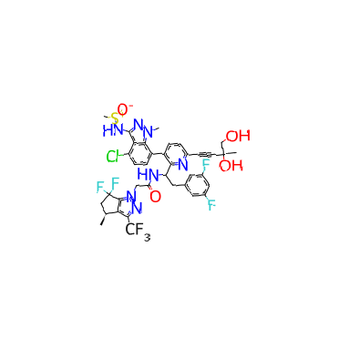 C[C@H]1CC(F)(F)c2c1c(C(F)(F)F)nn2CC(=O)NC(Cc1cc(F)cc(F)c1)c1nc(C#CC(C)(O)CO)ccc1-c1ccc(Cl)c2c(N[S+](C)[O-])nn(C)c12